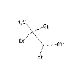 CCC([C](C)C)C(C)(CC)CC